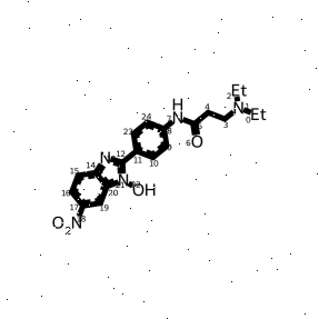 CCN(CC)CCC(=O)Nc1ccc(-c2nc3ccc([N+](=O)[O-])cc3n2O)cc1